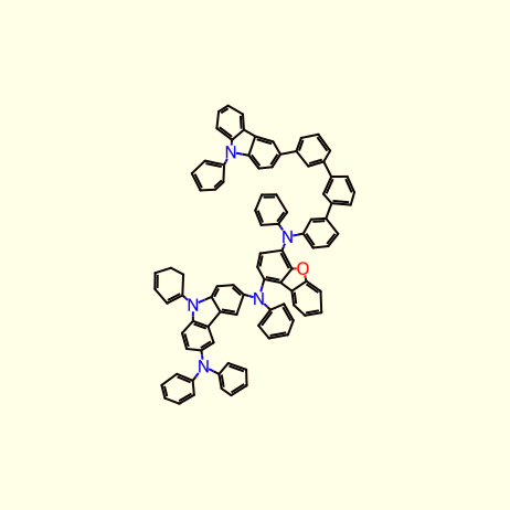 C1=CCCC(n2c3ccc(N(c4ccccc4)c4ccccc4)cc3c3cc(N(c4ccccc4)c4ccc(N(c5ccccc5)c5cccc(-c6cccc(-c7cccc(-c8ccc9c(c8)c8ccccc8n9-c8ccccc8)c7)c6)c5)c5oc6ccccc6c45)ccc32)=C1